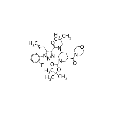 CSCc1c(C(=O)N(CC(C)C)[C@H]2C[C@@H](C(=O)N3CCOCC3)CN(C(=O)OC(C)(C)C)C2)nnn1-c1ccccc1F